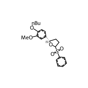 CCCCOc1ccc([C@@H]2CCC(S(=O)(=O)c3ccccc3)O2)cc1OC